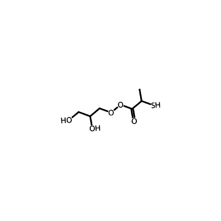 CC(S)C(=O)OOCC(O)CO